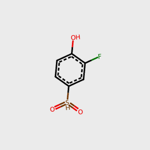 O=[SH](=O)c1ccc(O)c(F)c1